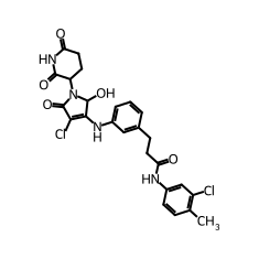 Cc1ccc(NC(=O)CCc2cccc(NC3=C(Cl)C(=O)N(C4CCC(=O)NC4=O)C3O)c2)cc1Cl